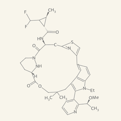 CCn1c(-c2cccnc2[C@H](C)OC)c2c3cc(ccc31)-c1csc(n1)C[C@H](NC(=O)[C@@H]1C(C(F)F)[C@H]1C)C(=O)N1CCC[C@H](N1)C(=O)OCC(C)(C)C2